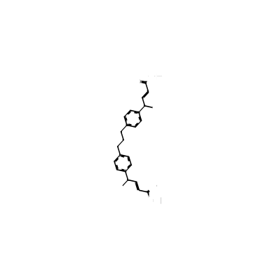 CC(C=CC(=O)O)c1ccc(CCCc2ccc(C(C)C=CC(=O)O)cc2)cc1